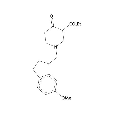 CCOC(=O)C1CN(CC2CCc3ccc(OC)cc32)CCC1=O